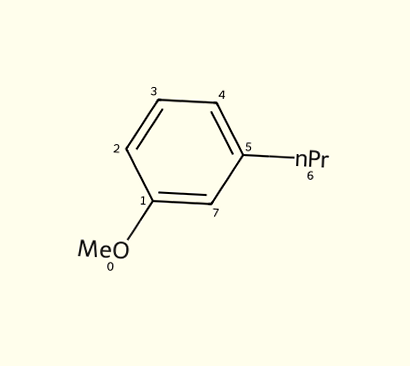 [CH2]Oc1cccc(CCC)c1